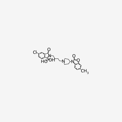 Cc1ccc2c(c1)oc(=O)n2C1CCN(CCCCN2C(=O)c3cc(Cl)ccc3S2(O)O)CC1